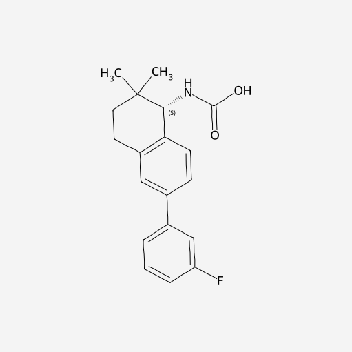 CC1(C)CCc2cc(-c3cccc(F)c3)ccc2[C@H]1NC(=O)O